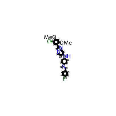 COc1cc(OC)c(-c2cn3ccc(NC4CCC(N(C)Cc5ccc(F)cc5)CC4)cc3n2)cc1Cl